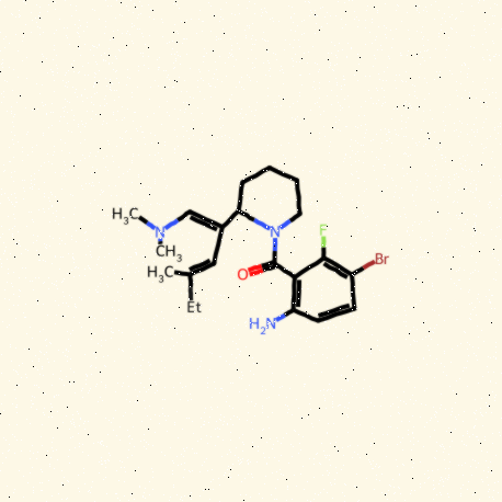 CC/C(C)=C/C(=C\N(C)C)C1CCCCN1C(=O)c1c(N)ccc(Br)c1F